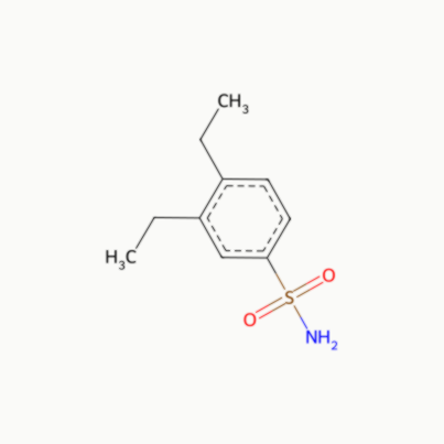 CCc1ccc(S(N)(=O)=O)cc1CC